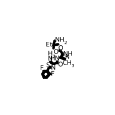 CCC1(CN)COC(c2[nH]nc(C)c2NC(=O)c2nc(-c3c(F)cccc3F)sc2N)OC1